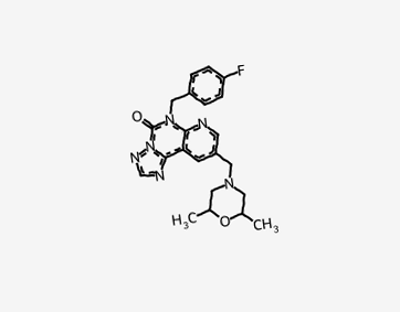 CC1CN(Cc2cnc3c(c2)c2ncnn2c(=O)n3Cc2ccc(F)cc2)CC(C)O1